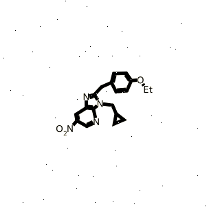 CCOc1ccc(Cc2nc3cc([N+](=O)[O-])cnc3n2CC2CC2)cc1